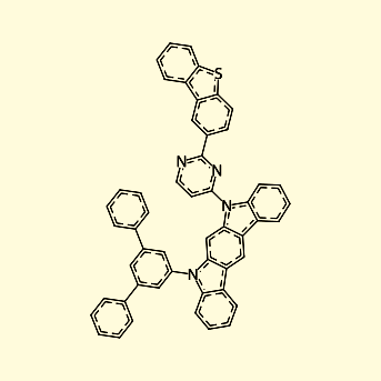 c1ccc(-c2cc(-c3ccccc3)cc(-n3c4ccccc4c4cc5c6ccccc6n(-c6ccnc(-c7ccc8sc9ccccc9c8c7)n6)c5cc43)c2)cc1